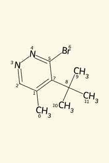 Cc1cnnc(Br)c1C(C)(C)C